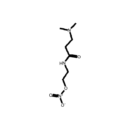 CN(C)CCC(=O)NCCO[N+](=O)[O-]